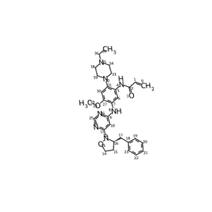 C=CC(=O)Nc1cc(Nc2cc(N3OCC[C@@H]3Cc3ccccc3)ncn2)c(OC)cc1N1CCN(CC)CC1